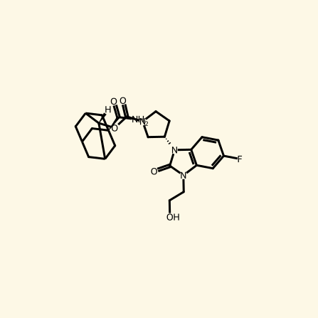 NC(=O)[C@]12CC3CC(C1)[C@@H](OC(=O)N1CC[C@H](n4c(=O)n(CCO)c5cc(F)ccc54)C1)C(C3)C2